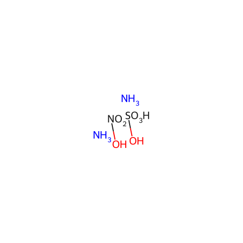 N.N.O=S(=O)(O)O.O=[N+]([O-])O